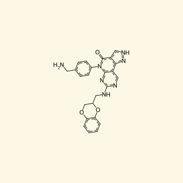 NCc1ccc(-n2c(=O)c3c[nH]nc3c3cnc(NCC4COc5ccccc5O4)nc32)cc1